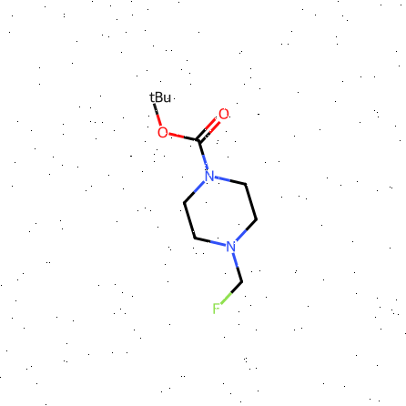 CC(C)(C)OC(=O)N1CCN(CF)CC1